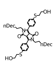 CCCCCCCCCCCCN1C(=O)C2=C(c3ccc(SCCO)cc3)N(CCCCCCCCCCCC)C(=O)C2=C1c1ccc(SCCO)cc1